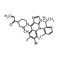 C=CC(=O)N1CCN(c2c3ncnc-3n(-c3c(C)ccnc3C(C)C)c3cc(Br)c(F)cc23)[C@@H](C)C1